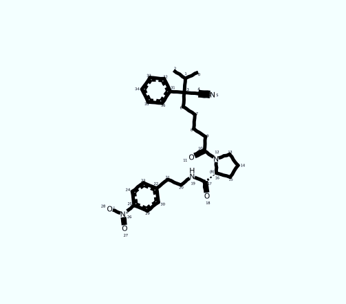 CC(C)C(C#N)(CCCCC(=O)N1CCC[C@@H]1C(=O)NCCc1ccc([N+](=O)[O-])cc1)c1ccccc1